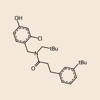 CC(C)(C)CN(Cc1ccc(O)cc1Cl)C(=O)CCc1cccc(C(C)(C)C)c1